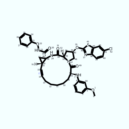 COc1cccc(N[C@H]2CCCCC/C=C\[C@@H]3C[C@@]3(C(=O)NOc3ccccc3)NC(=O)[C@@H]3C[C@@H](Oc4nc5ccc(Cl)cc5s4)CN3C2=O)c1